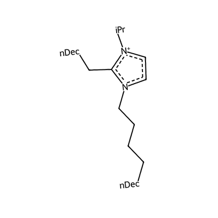 CCCCCCCCCCCCCCn1cc[n+](C(C)C)c1CCCCCCCCCCC